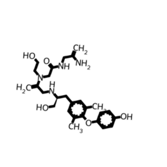 C=C(N)CNC(=O)CN(CCO)C(=C)CN[C@H](CO)Cc1cc(C)c(Oc2ccc(O)cc2)c(C)c1